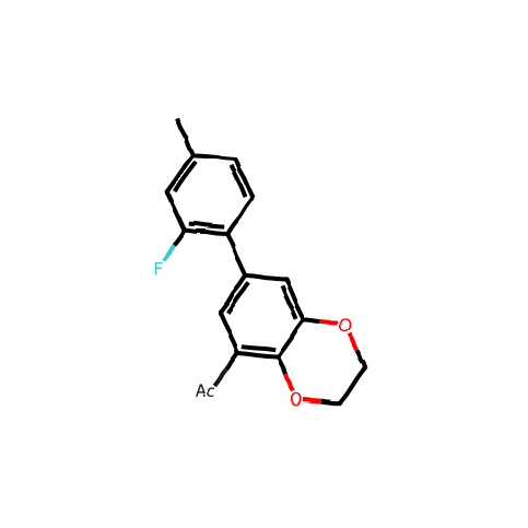 CC(=O)c1cc(-c2ccc(C)cc2F)cc2c1OCCO2